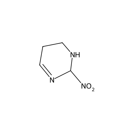 O=[N+]([O-])C1N=CCCN1